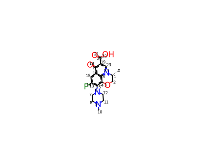 C[C@@H]1COc2c(N3CCN(C)CC3)c(F)cc3c(=O)c(C(=O)O)cn1c23